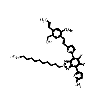 C/C=C/c1cc(OC)c(/C=C/c2ccc(-c3c(F)c(F)c(-c4ccc(C)s4)c4nn(CCCCCCCCCCCCCCCCCCCC)nc34)s2)cc1CO